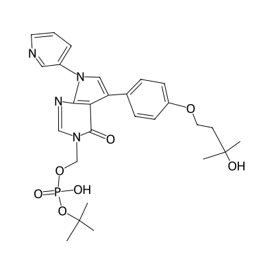 CC(C)(O)CCOc1ccc(-c2cn(-c3cccnc3)c3ncn(COP(=O)(O)OC(C)(C)C)c(=O)c23)cc1